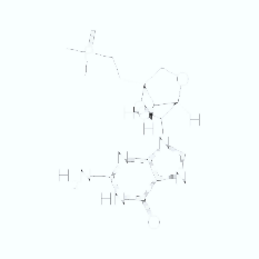 C=P(C)(C)CC[C@@]12CO[C@@H](C(n3cnc4c(=O)[nH]c(N)nc43)O1)[C@@H]2O